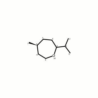 CC(C)C1CC[C@H](C)CCO1